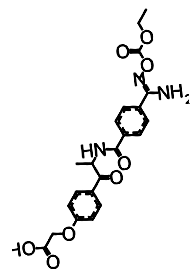 CCOC(=O)ON=C(N)c1ccc(C(=O)NC(C)C(=O)c2ccc(OCC(=O)O)cc2)cc1